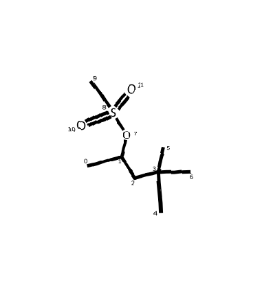 CC(CC(C)(C)C)OS(C)(=O)=O